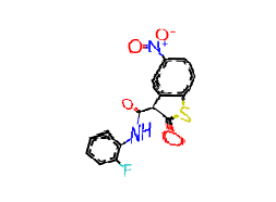 O=C(Nc1ccccc1F)C1C(=O)Sc2ccc([N+](=O)[O-])cc21